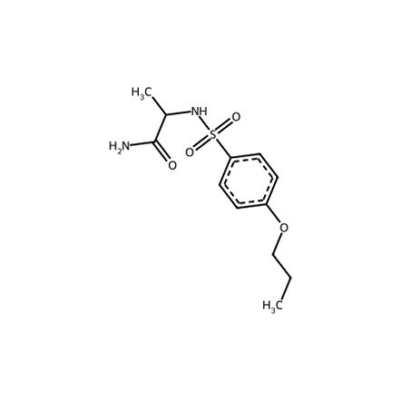 CCCOc1ccc(S(=O)(=O)NC(C)C(N)=O)cc1